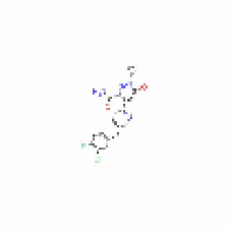 NC(=O)c1nn(C2CC2)c(=O)cc1-c1ccc(Cc2ccc(F)c(Cl)c2)cn1